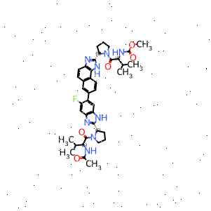 COC(=O)N[C@H](C(=O)N1CCC[C@H]1c1nc2ccc3cc(-c4cc5[nH]c([C@@H]6CCCN6C(=O)[C@@H](NC(C)=O)C(C)C)nc5cc4F)ccc3c2[nH]1)C(C)C